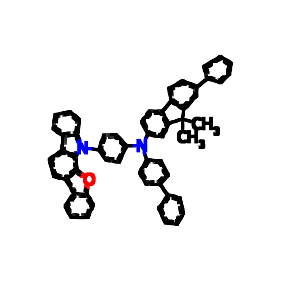 CC1(C)c2cc(-c3ccccc3)ccc2-c2ccc(N(c3ccc(-c4ccccc4)cc3)c3ccc(-n4c5ccccc5c5ccc6c7ccccc7oc6c54)cc3)cc21